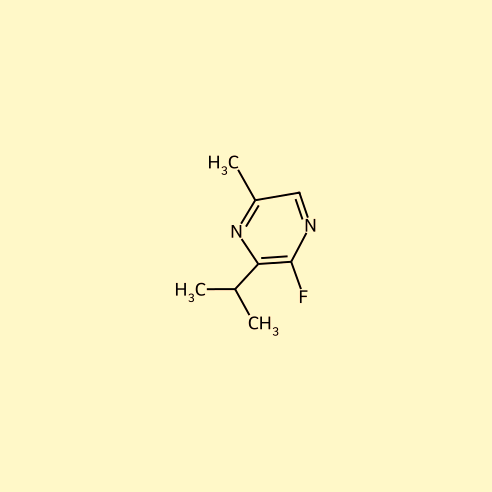 Cc1cnc(F)c(C(C)C)n1